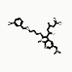 CC(CC(=O)O)CC(=O)c1c(CCCCOCc2cccc(Cl)c2)n(C)c2ncc(CN(C)C)cc12